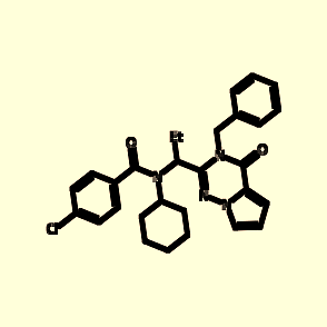 CCC(c1nn2cccc2c(=O)n1Cc1ccccc1)N(C(=O)c1ccc(Cl)cc1)C1CCCCC1